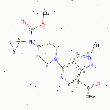 COC(=O)c1cnc(N2CCC(N(C(=O)OC(C)(C)C)C3CC3)CC2)c2cn(C)nc12